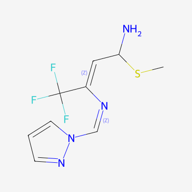 CSC(N)/C=C(\N=C/n1cccn1)C(F)(F)F